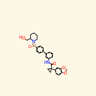 O=C(Nc1cccc(-c2ccc([S+]([O-])N3CCCCC3CO)cc2)c1)C1(c2ccc3c(c2)OCO3)CC1